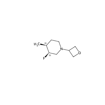 C[C@H]1CCN(C2COC2)C[C@H]1F